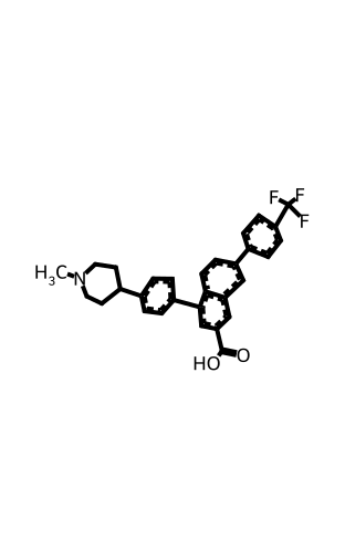 CN1CCC(c2ccc(-c3cc(C(=O)O)cc4cc(-c5ccc(C(F)(F)F)cc5)ccc34)cc2)CC1